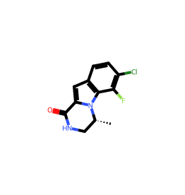 C[C@@H]1CNC(=O)c2cc3ccc(Cl)c(F)c3n21